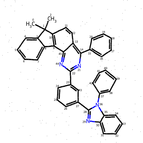 CC1(C)c2ccccc2-c2c1ccc1c(-c3ccccc3)nc(-c3cccc(-c4nc5ccccc5n4-c4ccccc4)c3)nc21